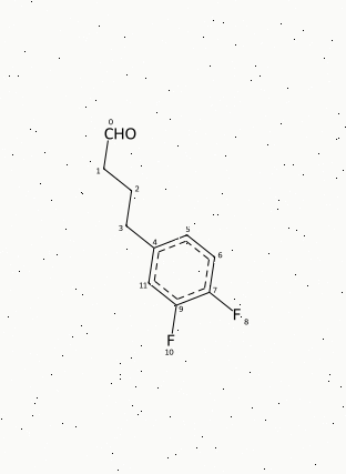 O=CCCCc1ccc(F)c(F)c1